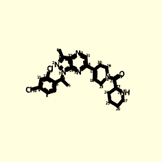 Cc1nn(C(C)c2ccc(Cl)cc2Cl)c2nc(C3=CCN(C(=O)C4CCCCN4)CC3)cnc12